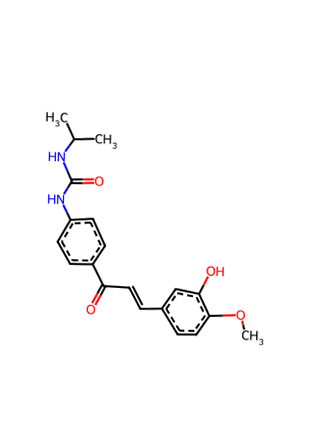 COc1ccc(/C=C/C(=O)c2ccc(NC(=O)NC(C)C)cc2)cc1O